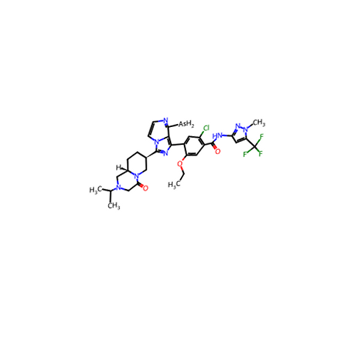 CCOc1cc(C(=O)Nc2cc(C(F)(F)F)n(C)n2)c(Cl)cc1-c1nc([C@@H]2CC[C@H]3CN(C(C)C)CC(=O)N3C2)n2ccnc([AsH2])c12